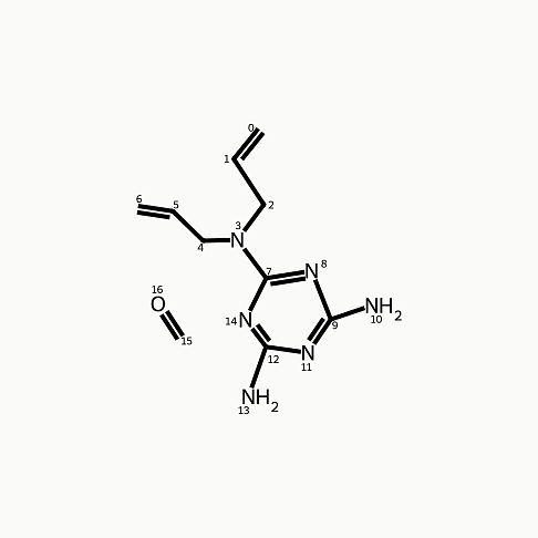 C=CCN(CC=C)c1nc(N)nc(N)n1.C=O